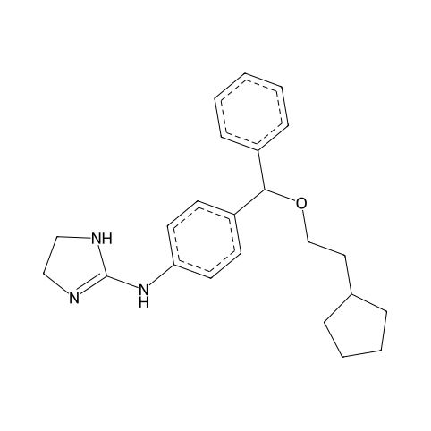 c1ccc(C(OCCC2CCCC2)c2ccc(NC3=NCCN3)cc2)cc1